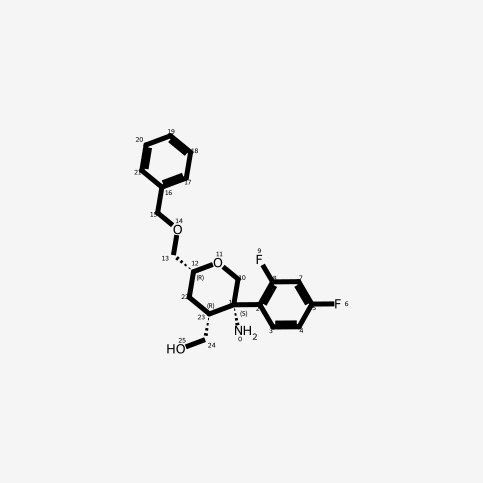 N[C@@]1(c2ccc(F)cc2F)CO[C@@H](COCc2ccccc2)C[C@H]1CO